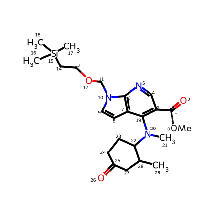 COC(=O)c1cnc2c(ccn2COCC[Si](C)(C)C)c1N(C)C1CCC(=O)CC1C